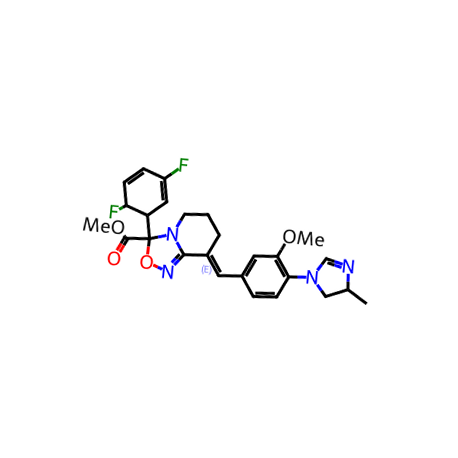 COC(=O)C1(C2C=C(F)C=CC2F)ON=C2/C(=C/c3ccc(N4C=NC(C)C4)c(OC)c3)CCCN21